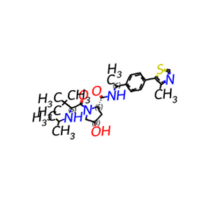 Cc1ncsc1-c1ccc([C@H](C)NC(=O)[C@@H]2C[C@@H](O)CN2C(=O)[C@@H](NC(C)C)C(C)(C)C)cc1